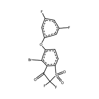 O=C1c2c(ccc(Oc3cc(F)cc(F)c3)c2Br)S(=O)(=O)C1(F)F